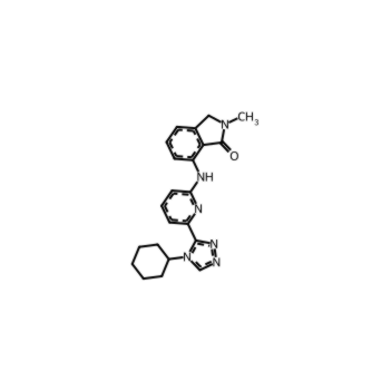 CN1Cc2cccc(Nc3cccc(-c4nncn4C4CCCCC4)n3)c2C1=O